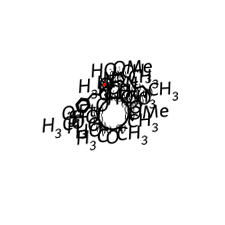 CC[C@H]1OC(=O)[C@H](C)[C@@H](O[C@H]2C[C@@](C)(OC)[C@@H](O)[C@H](C)O2)[C@H](C)[C@@H](O[C@@H]2O[C@H](C)C[C@H](N(C)CCc3cn(CCc4ccc(S(C)(=O)=O)cc4)nn3)[C@H]2O)[C@](C)(OC)C[C@@H](C)C(=O)[C@H](C)[C@@H](O)[C@]1(C)O